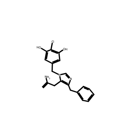 C=C(N)Cc1c(Cc2ccccc2)ncn1Cc1cc(O)c(Cl)c(O)c1